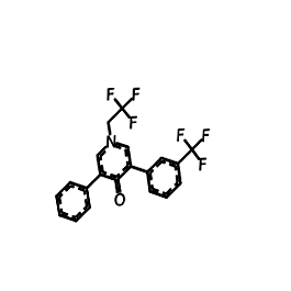 O=c1c(-c2ccccc2)cn(CC(F)(F)F)cc1-c1cccc(C(F)(F)F)c1